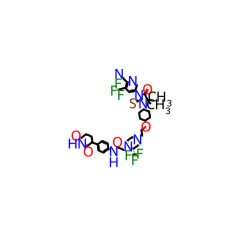 CC1(C)C(=O)N(c2cnc(C#N)c(C(F)(F)F)c2)C(=S)N1[C@H]1CC[C@H](OCCN2CCN(CC(=O)Nc3ccc(C4CCC(=O)NC4=O)cc3)[C@@H](C(F)(F)F)C2)CC1